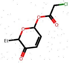 CCC1OC(OC(=O)CCl)C=CC1=O